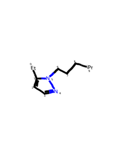 CCc1c[c]nn1CCCC(C)C